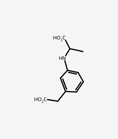 CC(Nc1cccc(CC(=O)O)c1)C(=O)O